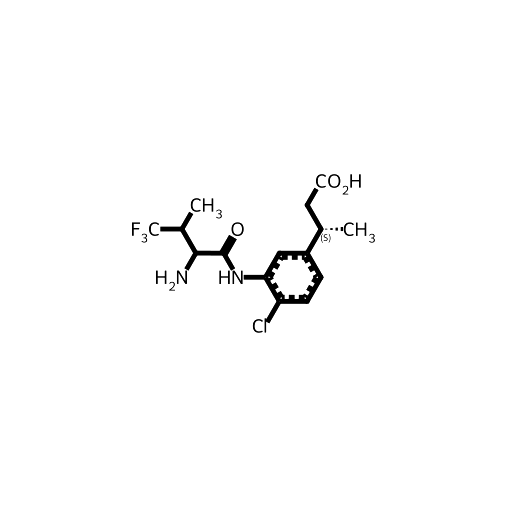 CC(C(N)C(=O)Nc1cc([C@@H](C)CC(=O)O)ccc1Cl)C(F)(F)F